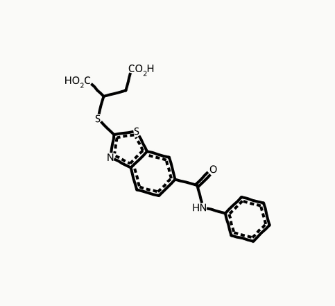 O=C(O)CC(Sc1nc2ccc(C(=O)Nc3ccccc3)cc2s1)C(=O)O